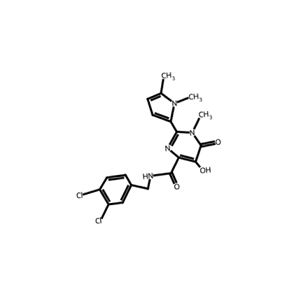 Cc1ccc(-c2nc(C(=O)NCc3ccc(Cl)c(Cl)c3)c(O)c(=O)n2C)n1C